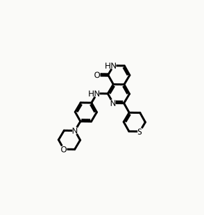 O=c1[nH]ccc2cc(C3=CCSCC3)nc(Nc3ccc(N4CCOCC4)cc3)c12